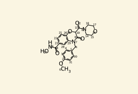 COc1ccc(CN2C(=O)C(C(=O)N3CCOCC3)Oc3ccc(C(=O)NO)cc32)cc1